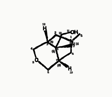 CN1C[C@H]2COC[C@@H](C1)[C@H]2CO